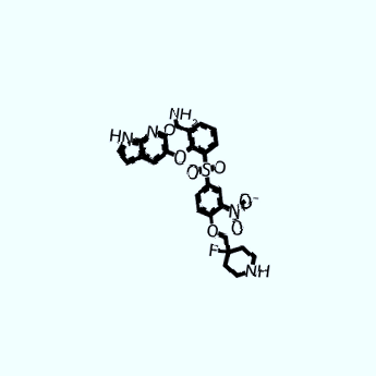 NC(=O)c1cccc(S(=O)(=O)c2ccc(OCC3(F)CCNCC3)c([N+](=O)[O-])c2)c1Oc1cnc2[nH]ccc2c1